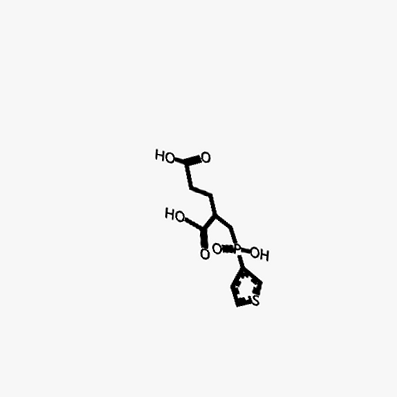 O=C(O)CCC(CP(=O)(O)c1ccsc1)C(=O)O